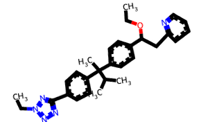 CCOC(Cc1ccccn1)c1ccc(C(C)(c2ccc(-c3nnn(CC)n3)cc2)C(C)C)cc1